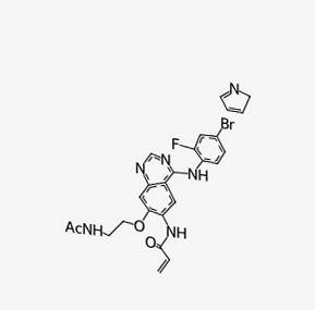 C1=CCN=C1.C=CC(=O)Nc1cc2c(Nc3ccc(Br)cc3F)ncnc2cc1OCCNC(C)=O